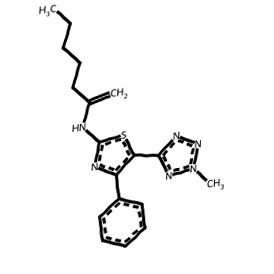 C=C(CCCCC)Nc1nc(-c2ccccc2)c(-c2nnn(C)n2)s1